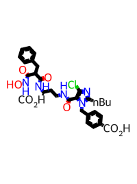 CCCCc1nc(Cl)c(C(=O)NCC[C@H](NC(=O)C(Cc2ccccc2)C(=O)NO)C(=O)O)n1Cc1ccc(C(=O)O)cc1